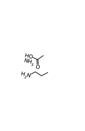 CC(=O)O.CCCN.N